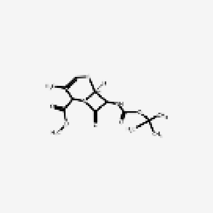 COC(=O)C1C(C)=CS[C@H]2C(NC(=O)OC(C)(C)C)C(=O)N12